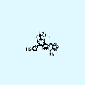 Cc1nonc1Cn1nnc2c(N3CC[C@@H](S)C3)nc(C(C)(C)C)nc21